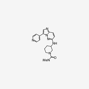 CNC(=O)N1CCCC(Nc2ccc3ncc(-c4ccncc4)n3n2)C1